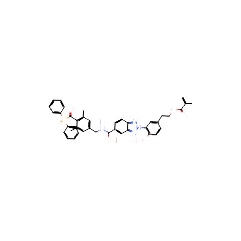 C=C(C)C(=O)OCCc1ccc(O)c(-n2nc3ccc(C(O)NCc4cc(C)c(C(=O)P(=O)(c5ccccc5)c5ccccc5)c(C)c4)cc3n2)c1